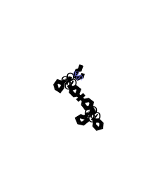 C=C/C=C(\C=C/C)OP(=O)(Oc1ccccc1)Oc1ccc(C(C)(C)c2ccc(OP(=O)(Oc3ccccc3)Oc3ccccc3)cc2)cc1